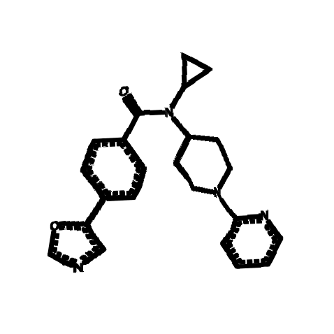 O=C(c1ccc(-c2cnco2)cc1)N(C1CC1)C1CCN(c2ccccn2)CC1